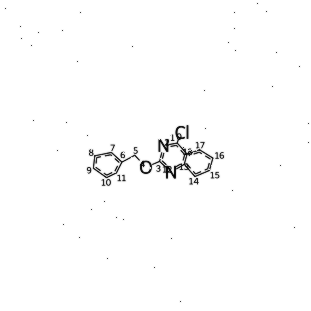 Clc1nc(OCc2ccccc2)nc2ccccc12